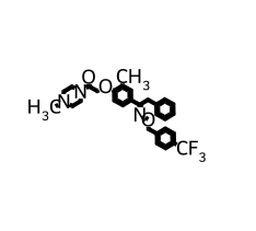 Cc1cc(/C(Cc2ccccc2)=N/OCc2ccc(C(F)(F)F)cc2)ccc1OCC(=O)N1CCN(C)CC1